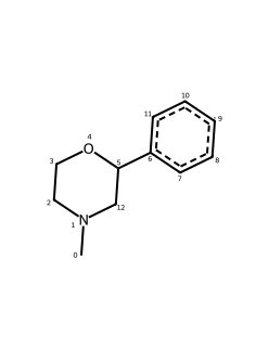 CN1CCOC(c2cc[c]cc2)C1